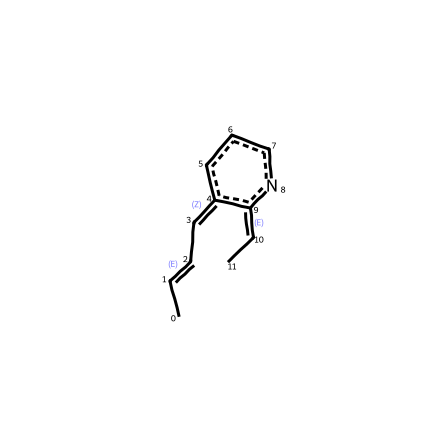 C/C=C/C=c1/cccn/c1=C/C